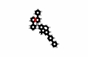 CC1(C)c2cc(-c3ccc(-c4ccccc4)cc3)cc3c2-c2c(cc(N(c4ccc(-c5ccccc5)cc4)c4ccccc4-c4ccccc4)cc21)CC3